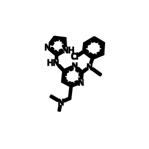 CN(C)Cc1cc(Nc2ncc[nH]2)nc(N(C)c2ccccc2Cl)n1